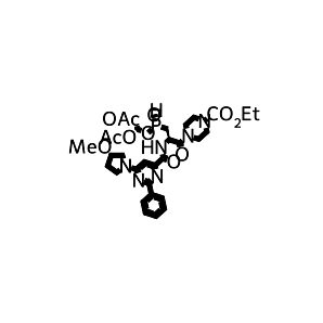 CCOC(=O)N1CCN(C(=O)[C@H](C[PH](=O)OC(OC(C)=O)OC(C)=O)NC(=O)c2cc(N3CC[C@H](OC)C3)nc(-c3ccccc3)n2)CC1